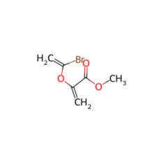 C=C(Br)OC(=C)C(=O)OC